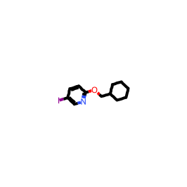 Ic1ccc(OCC2CCCCC2)nc1